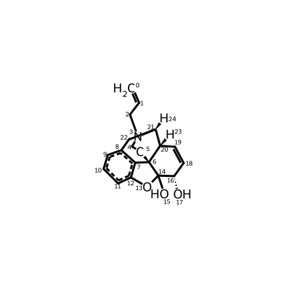 C=CCN1CC[C@]23c4c5cccc4OC2(O)[C@@H](O)C=C[C@H]3[C@H]1C5